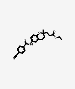 CCOC(=O)CCC1(C)CCc2cc(NC(=O)c3ccc(C#N)cc3)ccc2O1